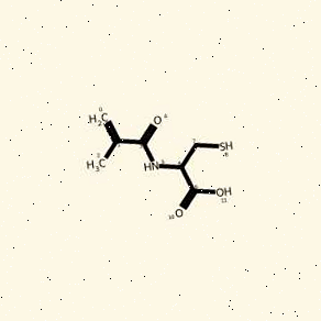 C=C(C)C(=O)NC(CS)C(=O)O